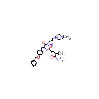 CC(C[CH]C(=O)NC(Cc1ccc(OCc2ccccc2)cc1)C(=O)NCCCN1CCN(C)CC1)C(N)=O